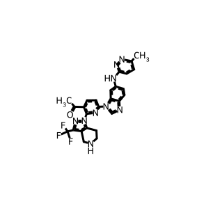 CC(=O)c1ccc(-n2cnc3ccc(Nc4ccc(C)nn4)cc32)nc1-n1nc(C(F)(F)F)c2c1CCNC2